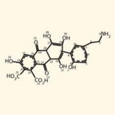 NCCc1ccc(O)c(C2=C(O)C3C(=O)c4c(cc(O)c(C(=O)O)c4C(=O)O)C(=O)C3C(O)=C2O)c1